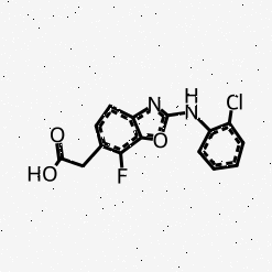 O=C(O)Cc1ccc2nc(Nc3ccccc3Cl)oc2c1F